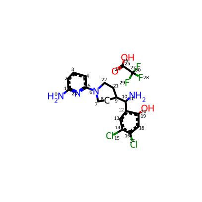 Nc1cccc(N2CCC(C(N)c3cc(Cl)c(Cl)cc3O)CC2)n1.O=C(O)C(F)(F)F